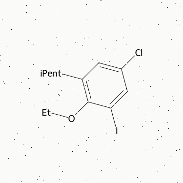 CCCC(C)c1cc(Cl)cc(I)c1OCC